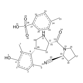 Cc1ccc(O)c(C)c1[C@@H]1CN[C@H](C(=O)N2CCC[C@H]2C#N)C1.Cc1ccc(S(=O)(=O)O)cc1